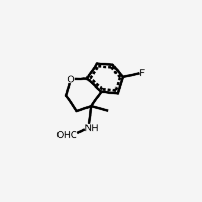 CC1(NC=O)CCOc2ccc(F)cc21